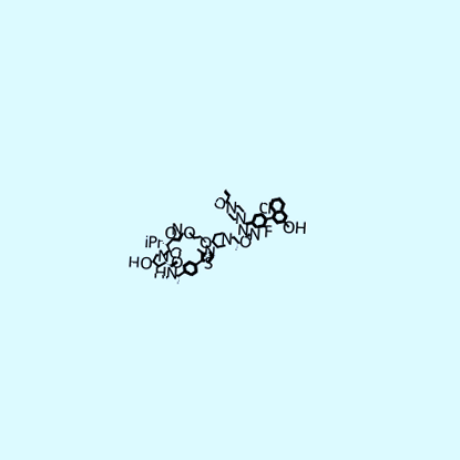 C=CC(=O)N1CCN(c2nc(O[C@H](C)CN3CCC(OCCOc4cc([C@H](C(=O)N5C[C@H](O)C[C@H]5C(=O)N[C@@H](C)c5ccc(-c6scnc6C)cc5)C(C)C)on4)CC3)nc3c(F)c(-c4cc(O)cc5ccccc45)c(Cl)cc23)CC1